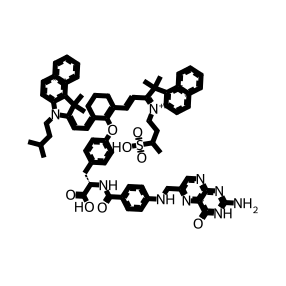 CC(C)CCN1/C(=C/C=C2\CCCC(/C=C/C3=[N+](CCC(C)S(=O)(=O)O)c4ccc5ccccc5c4C3(C)C)=C2Oc2ccc(C[C@H](NC(=O)c3ccc(NCc4cnc5nc(N)[nH]c(=O)c5n4)cc3)C(=O)O)cc2)C(C)(C)c2c1ccc1ccccc21